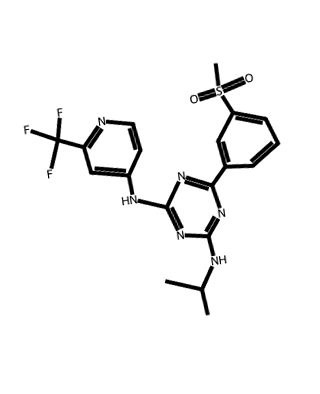 CC(C)Nc1nc(Nc2ccnc(C(F)(F)F)c2)nc(-c2cccc(S(C)(=O)=O)c2)n1